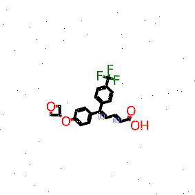 O=C(O)/C=C/C=C(/c1ccc(OC2COC2)cc1)c1ccc(C(F)(F)F)cc1